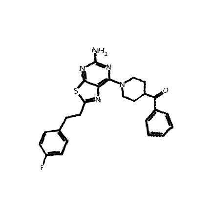 Nc1nc(N2CCC(C(=O)c3ccccc3)CC2)c2nc(CCc3ccc(F)cc3)sc2n1